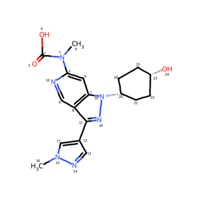 CN(C(=O)O)c1cc2c(cn1)c(-c1cnn(C)c1)nn2[C@H]1CC[C@@H](O)CC1